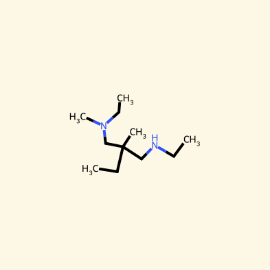 CCNCC(C)(CC)CN(C)CC